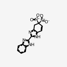 O=[N+]([O-])C1([N+](=O)[O-])C=Cc2[nH]c(-c3nc4ccccc4[nH]3)nc2C1